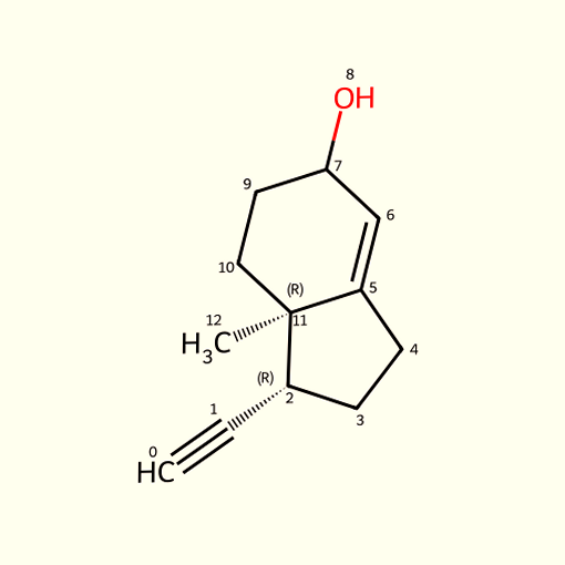 C#C[C@H]1CCC2=CC(O)CC[C@@]21C